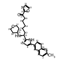 Cc1ccc2cc(-c3cnc(C(CCCCCC(=O)c4ncco4)NC4CCOCC4)[nH]3)ccc2n1